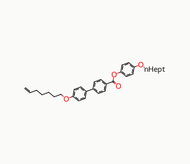 C=CCCCCCOc1ccc(-c2ccc(C(=O)Oc3ccc(OCCCCCCC)cc3)cc2)cc1